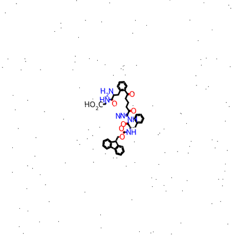 [N-]=[N+]=C(NC(=O)[C@H](Cc1ccccc1)NC(=O)OCC1c2ccccc2-c2ccccc21)C(=O)CCCC(=O)c1ccccc1C[C@H](N)C(=O)NCC(=O)O